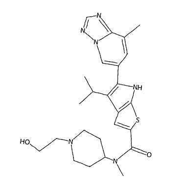 Cc1cc(-c2[nH]c3sc(C(=O)N(C)C4CCN(CCO)CC4)cc3c2C(C)C)cn2ncnc12